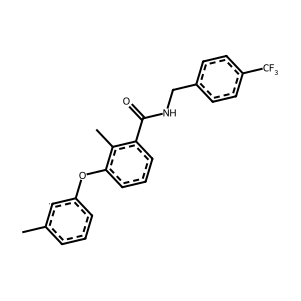 Cc1[c]c(Oc2cccc(C(=O)NCc3ccc(C(F)(F)F)cc3)c2C)ccc1